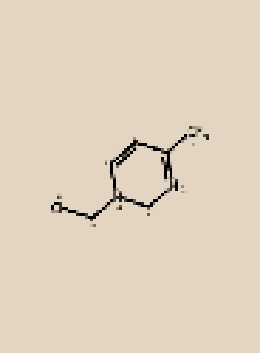 FC(F)(F)C1=NCN(CCl)C=C1